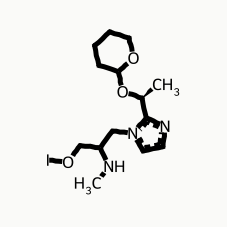 CNC(COI)Cn1ccnc1[C@H](C)OC1CCCCO1